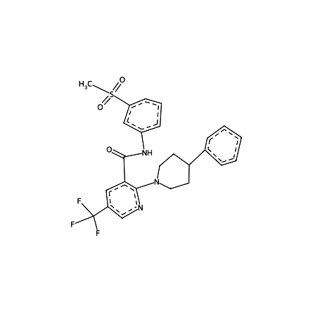 CS(=O)(=O)c1cccc(NC(=O)c2cc(C(F)(F)F)cnc2N2CCC(c3ccccc3)CC2)c1